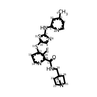 Cc1ccnc(Nc2ncc(Sc3ccnc(C(=O)NCC45CCN(CC4)CC5)c3F)s2)c1